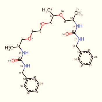 CC(COCCOCC(C)OCC(C)NC(=O)NCc1ccccc1)NC(=O)NCc1ccccc1